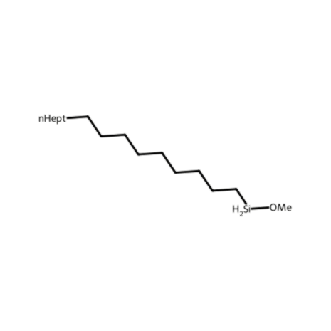 CCCCCCCCCCCCCCCC[SiH2]OC